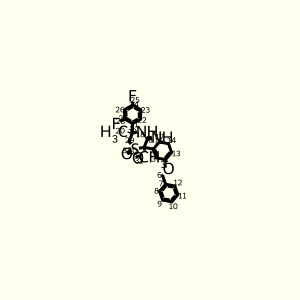 C[C@]1(C2=CC(OCc3ccccc3)=CCC2)C(=N)N[C@](C)(c2ccc(F)cc2F)CS1(=O)=O